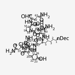 CCCCCCCCCCCCCCCC(CC(=O)N[C@@H](CC(N)=O)C(=O)NC(Cc1ccc(O)cc1)C(=O)N[C@H](C=O)CC(N)=O)NN[C@@H](CC(N)=O)C(=O)N[C@@H](CO)C(=O)N1CCC[C@H]1C(=O)N[C@H](C=O)CCC(N)=O